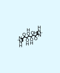 O=C(c1c[nH][c]n1)C(O)C(O)C(O)C(O)C(=O)c1c[nH][c]n1